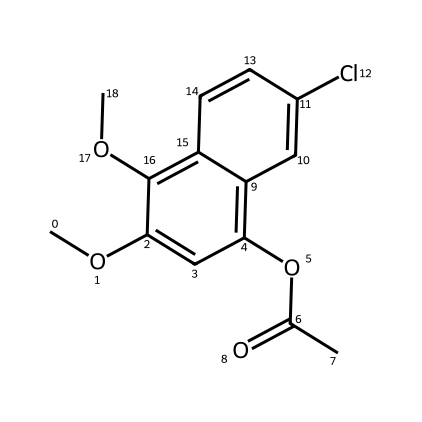 COc1cc(OC(C)=O)c2cc(Cl)ccc2c1OC